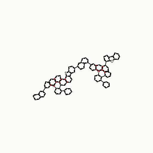 c1ccc(-c2ccccc2-c2c(-c3ccccc3)cccc2N(c2ccc(-c3cccc4cc(-c5ccc6sc7c(-c8cccc(N(c9cccc(-c%10ccc%11ccccc%11c%10)c9)c9cccc(-c%10ccccc%10)c9-c9ccccc9-c9ccccc9)c8)cccc7c6c5)ccc34)cc2)c2cccc(-c3cccc4c3oc3ccccc34)c2)cc1